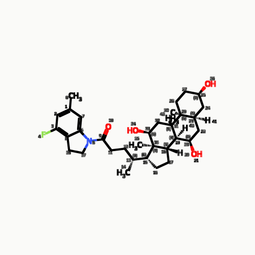 Cc1cc(F)c2c(c1)N(C(=O)CC[C@@H](C)[C@H]1CC[C@H]3[C@@H]4[C@H](O)C[C@@H]5C[C@H](O)CC[C@]5(C)[C@H]4C[C@H](O)[C@]13C)CC2